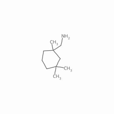 CC1(C)CCCC(C)(CN)C1